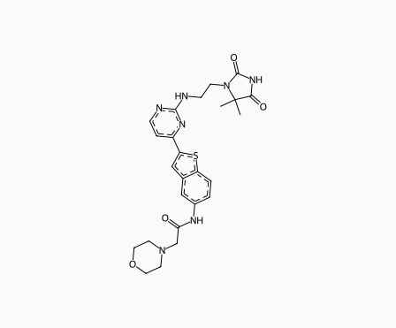 CC1(C)C(=O)NC(=O)N1CCNc1nccc(-c2cc3cc(NC(=O)CN4CCOCC4)ccc3s2)n1